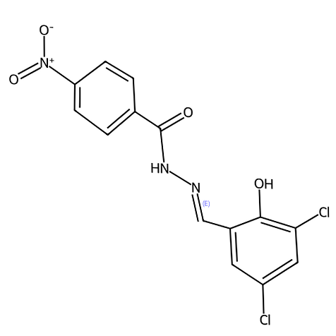 O=C(N/N=C/c1cc(Cl)cc(Cl)c1O)c1ccc([N+](=O)[O-])cc1